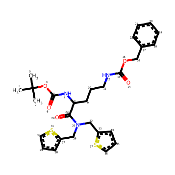 CC(C)(C)OC(=O)NC(CCCNC(=O)OCc1ccccc1)C(=O)N(Cc1cccs1)Cc1cccs1